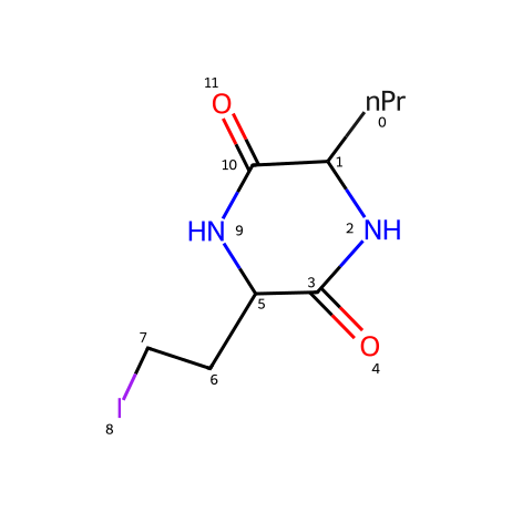 CCCC1NC(=O)C(CCI)NC1=O